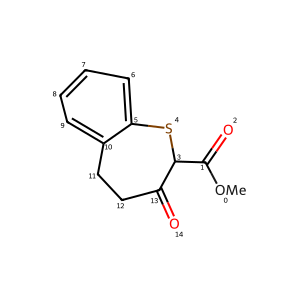 COC(=O)C1Sc2ccccc2CCC1=O